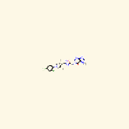 Cn1cnc2ncn(Cc3nc(C4[C@H]5CN(c6ccc(Cl)cc6F)C[C@@H]45)no3)c(=O)c21